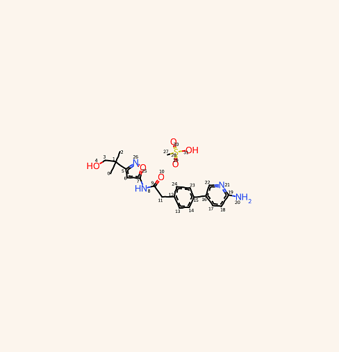 CC(C)(CO)c1cc(NC(=O)Cc2ccc(-c3ccc(N)nc3)cc2)on1.CS(=O)(=O)O